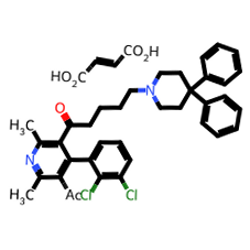 CC(=O)c1c(C)nc(C)c(C(=O)CCCCN2CCC(c3ccccc3)(c3ccccc3)CC2)c1-c1cccc(Cl)c1Cl.O=C(O)C=CC(=O)O